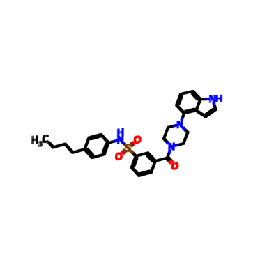 CCCCc1ccc(NS(=O)(=O)c2cccc(C(=O)N3CCN(c4cccc5[nH]ccc45)CC3)c2)cc1